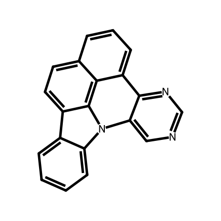 c1cc2ccc3c4ccccc4n4c5cncnc5c(c1)c2c34